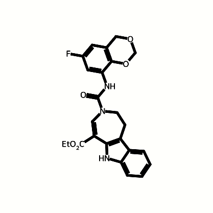 CCOC(=O)C1=CN(C(=O)Nc2cc(F)cc3c2OCOC3)CCc2c1[nH]c1ccccc21